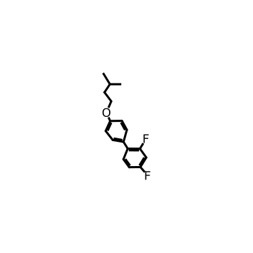 CC(C)CCOc1ccc(-c2ccc(F)cc2F)cc1